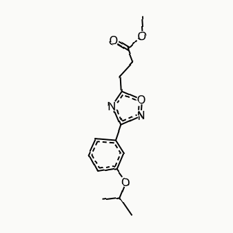 COC(=O)CCc1nc(-c2cccc(OC(C)C)c2)no1